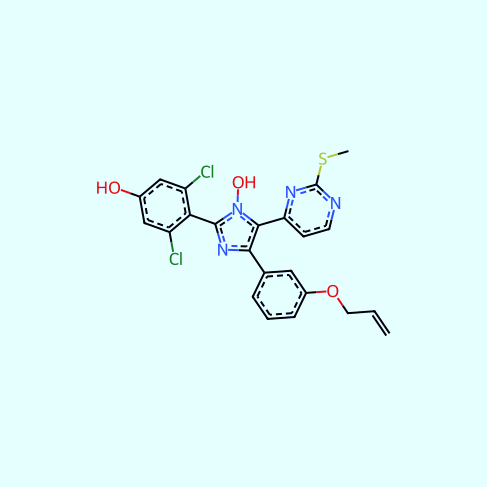 C=CCOc1cccc(-c2nc(-c3c(Cl)cc(O)cc3Cl)n(O)c2-c2ccnc(SC)n2)c1